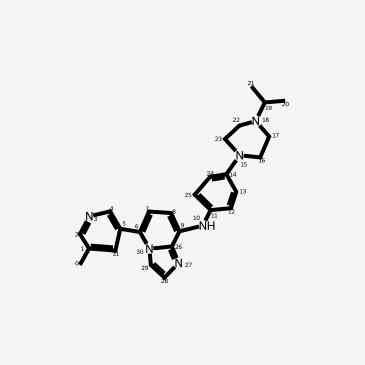 Cc1cncc(-c2ccc(Nc3ccc(N4CCN(C(C)C)CC4)cc3)c3nccn23)c1